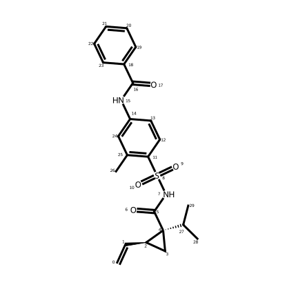 C=C[C@@H]1C[C@@]1(C(=O)NS(=O)(=O)c1ccc(NC(=O)c2ccccc2)cc1C)C(C)C